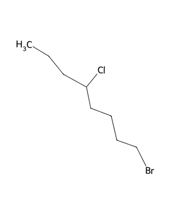 CCCC(Cl)CCCCBr